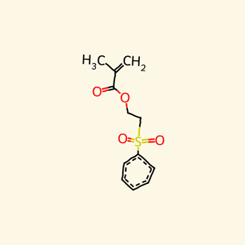 C=C(C)C(=O)OCCS(=O)(=O)c1ccccc1